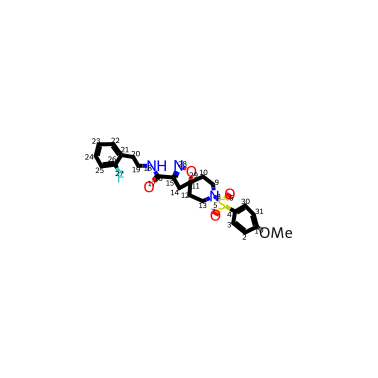 COc1ccc(S(=O)(=O)N2CCC3(CC2)CC(C(=O)NCCc2ccccc2F)=NO3)cc1